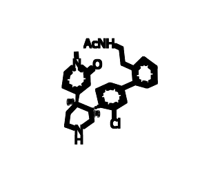 CC(=O)NCCc1ccccc1-c1ccc([C@@H]2CNCC[C@H]2c2ccn(C)c(=O)c2)c(Cl)c1